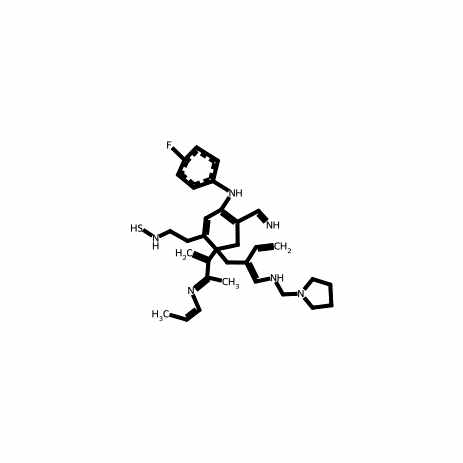 C=C/C(=C\NCN1CCCC1)CC1(C(=C)/C(C)=N/C=C\C)CC(C=N)=C(Nc2ccc(F)cc2)C=C1CCNS